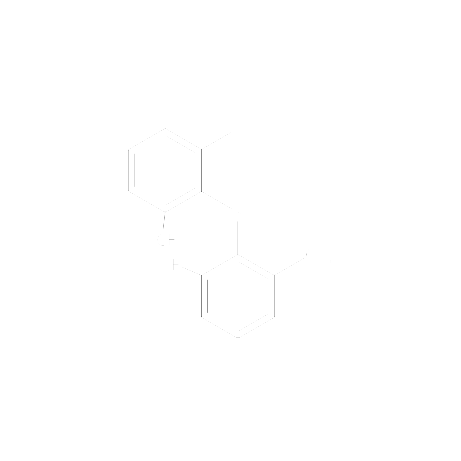 Fc1cccc(C(F)(F)F)c1Sc1c(F)cccc1C(F)(F)F